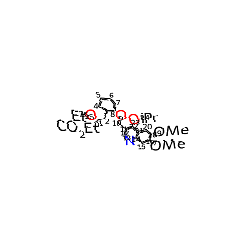 CCOC(=O)C(Cc1ccccc1OCc1cnc2cc(OC)c(OC)cc2c1OC(C)C)OCC